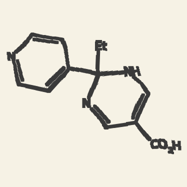 CCC1(c2ccncc2)N=CC(C(=O)O)=CN1